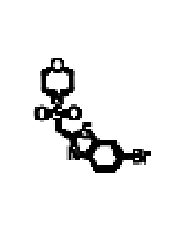 O=S(=O)(Cc1nc2ccc(Br)cc2s1)N1CCOCC1